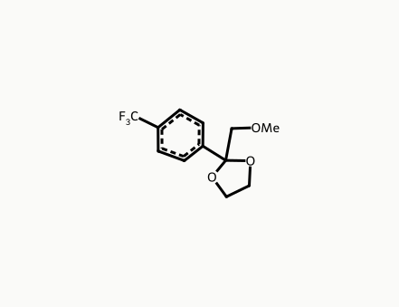 COCC1(c2ccc(C(F)(F)F)cc2)OCCO1